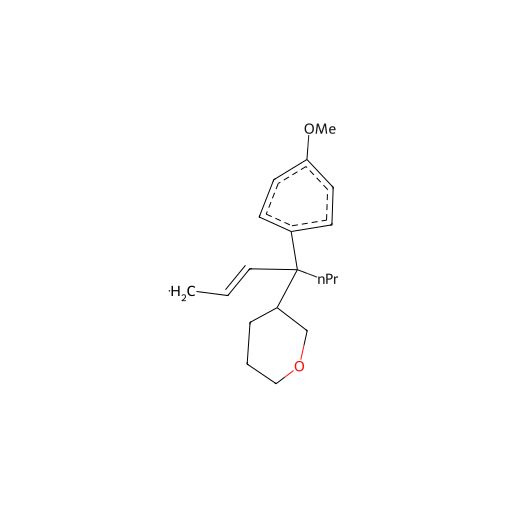 [CH2]C=CC(CCC)(c1ccc(OC)cc1)C1CCCOC1